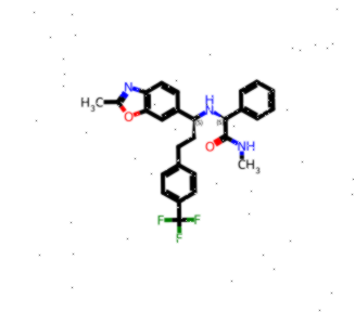 CNC(=O)[C@@H](N[C@@H](CCc1ccc(C(F)(F)F)cc1)c1ccc2nc(C)oc2c1)c1ccccc1